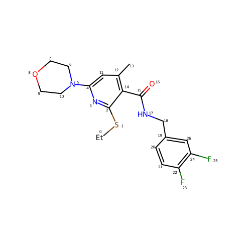 CCSc1nc(N2CCOCC2)cc(C)c1C(=O)NCc1ccc(F)c(F)c1